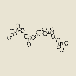 c1ccc(-n2c3ccc(-c4ccc5c6ccccc6n(-c6ccc7c8c(cccc68)-c6cccnc6-7)c5c4)cc3c3cc(-c4ccc5c(n4)-c4ccc(-n6c7ccccc7c7cc(-c8ccc9c(c8)c8ccc%10ccccc%10c8n9-c8ccccc8)ccc76)c6cccc-5c46)ccc32)cc1